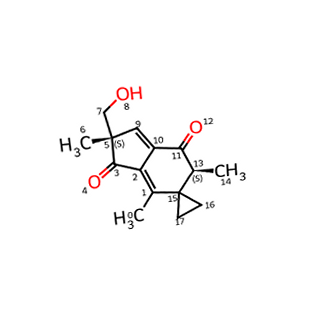 CC1=C2C(=O)[C@](C)(CO)C=C2C(=O)[C@@H](C)C12CC2